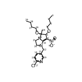 CCCCOC1C([N+](=O)[O-])=C2N(Cc3ccc(Cl)nc3)CCN2C1(C)OCCCC